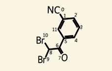 N#Cc1cccc(C(=O)C(Br)Br)c1